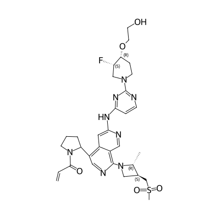 C=CC(=O)N1CCCC1c1cnc(N2C[C@H](CS(C)(=O)=O)[C@H]2C)c2cnc(Nc3ccnc(N4CC[C@@H](OCCO)[C@@H](F)C4)n3)cc12